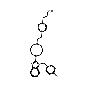 O=C(O)CCc1ccc(CCN2CCCN(c3nc4ccccc4n3Cc3ccc(F)cc3)CCC2)cc1